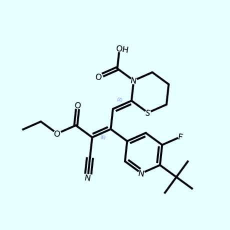 CCOC(=O)/C(C#N)=C(\C=C1/SCCCN1C(=O)O)c1cnc(C(C)(C)C)c(F)c1